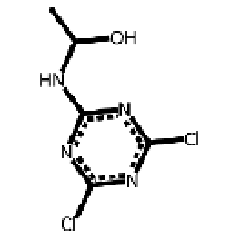 CC(O)Nc1nc(Cl)nc(Cl)n1